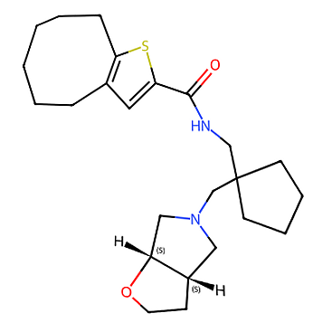 O=C(NCC1(CN2C[C@@H]3CCO[C@@H]3C2)CCCC1)c1cc2c(s1)CCCCCC2